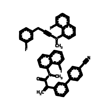 C=C(C(=O)N(C)c1cccc2cccc(I)c12)c1cccc(-c2ccc(C#N)cc2)c1.CN(C#CCc1cccc(F)c1)c1cccc2cccc(I)c12